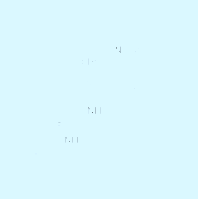 O=S(=O)(NCC1CCCCN1)c1cc(F)cnc1Cl